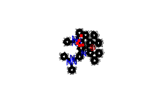 c1ccc(-c2nc(-c3ccccc3)nc(-c3ccc4c(c3)c3cc(-c5nc(-c6ccccc6)nc(-c6ccccc6)n5)cc5c3n4-c3cc(-c4ccccc4-c4ccccc4)cc4c3B5c3cc(-c5ccccc5-c5ccccc5)cc(-c5ccccc5-c5ccccc5)c3O4)n2)cc1